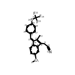 COc1ccc2c(c1)C(CC#N)=C(C)C2=Cc1ccc(SC(F)(F)F)cc1